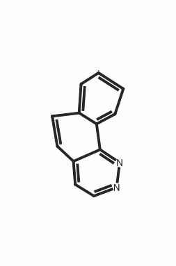 [c]1ccc2c(c1)ccc1ccnnc12